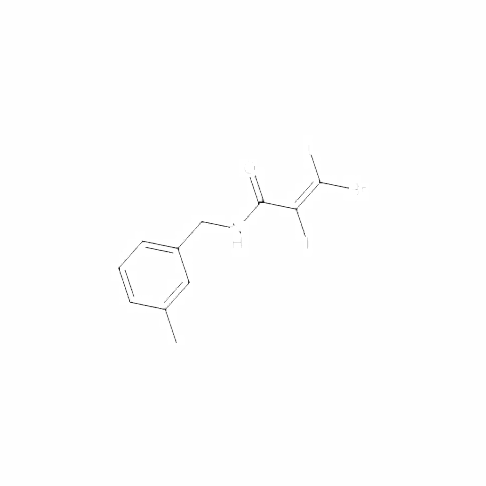 Cc1cccc(CNC(=O)C(I)=C(Br)I)c1